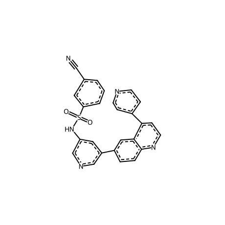 N#Cc1cccc(S(=O)(=O)Nc2cncc(-c3ccc4nccc(-c5ccncc5)c4c3)c2)c1